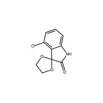 O=C1Nc2cccc(Cl)c2C12OCCO2